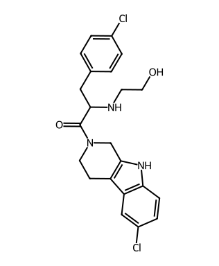 O=C(C(Cc1ccc(Cl)cc1)NCCO)N1CCc2c([nH]c3ccc(Cl)cc23)C1